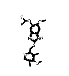 COc1cc2[nH]c(SCc3ncc(C)c(OC)c3C)nc2cc1OC(F)F